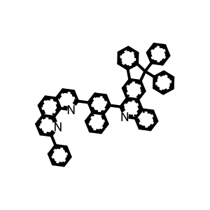 c1ccc(-c2ccc3ccc4ccc(-c5ccc(-c6nc7ccccc7c7cc8c(cc67)-c6ccccc6C8(c6ccccc6)c6ccccc6)c6ccccc56)nc4c3n2)cc1